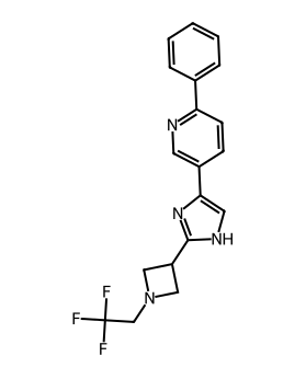 FC(F)(F)CN1CC(c2nc(-c3ccc(-c4ccccc4)nc3)c[nH]2)C1